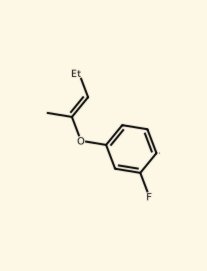 CCC=C(C)Oc1cc[c]c(F)c1